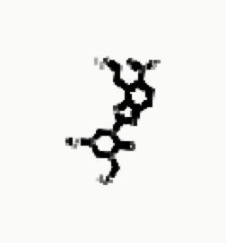 C=CCc1c([N+](=O)[O-])ccc2nc(N3CN(C)CN(CC)C3=O)sc12